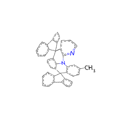 Cc1ccc2c(c1)N1c3ncccc3C3(c4ccccc4-c4ccccc43)c3cccc(c31)C21c2ccccc2-c2ccccc21